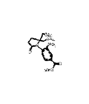 COC(=O)c1ccc(N2C(=O)CCC2(COC(C)=O)COC(C)=O)c([N+](=O)[O-])c1